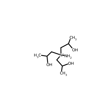 CC(O)C[N+](N)(CC(C)O)CC(C)O